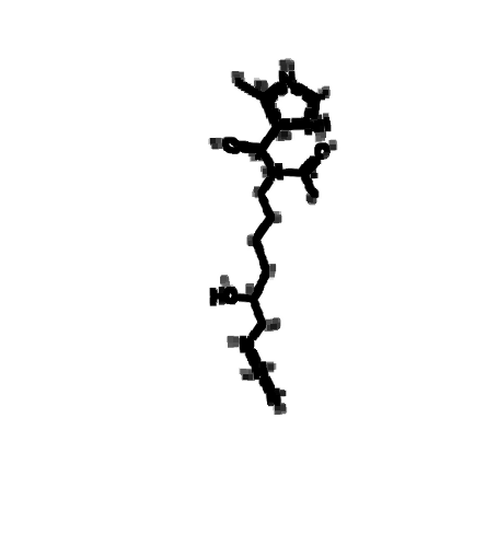 CC(=O)N(CCCCC(O)CN=[N+]=[N-])C(=O)c1[nH]cnc1C